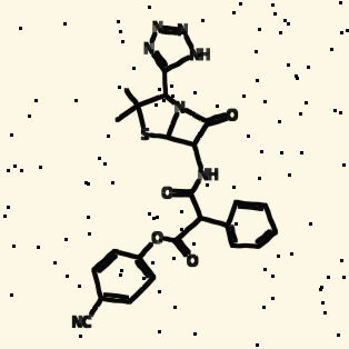 CC1(C)SC2C(NC(=O)C(C(=O)Oc3ccc(C#N)cc3)c3ccccc3)C(=O)N2C1c1nnn[nH]1